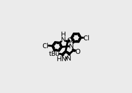 CC(C)(C)c1[nH]nc2c1C1(C(=O)Nc3cc(Cl)ccc31)N(c1cccc(Cl)c1)C2=O